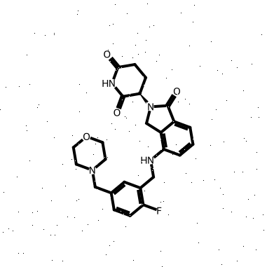 O=C1CC[C@@H](N2Cc3c(NCc4cc(CN5CCOCC5)ccc4F)cccc3C2=O)C(=O)N1